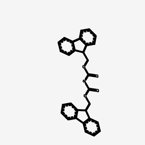 O=C([N]C(=O)OCC1c2ccccc2-c2ccccc21)OCC1c2ccccc2-c2ccccc21